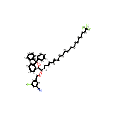 N#Cc1cc(F)cc(CO[C@H](CCCCCCCCCCCCCCCCCCCC(F)(F)F)COC(c2ccccc2)(c2ccccc2)c2ccccc2)c1